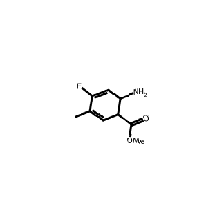 COC(=O)C1C=C(C)C(F)=CC1N